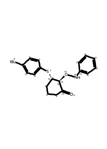 CC(C)(C)c1ccc(S[C@H]2CCCC(=O)[C@@H]2ONc2ccccc2)cc1